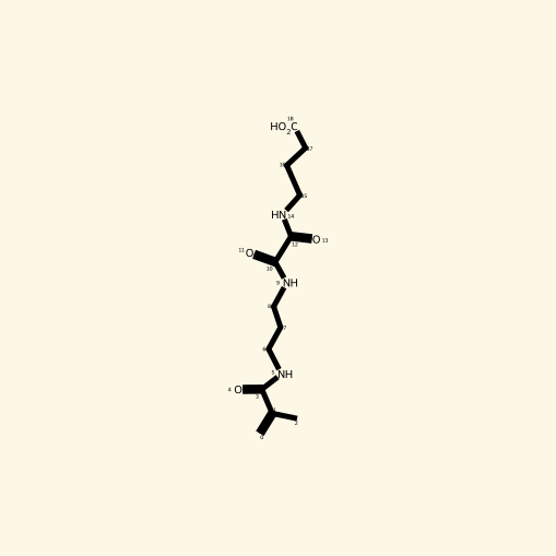 C=C(C)C(=O)NCCCNC(=O)C(=O)NCCCC(=O)O